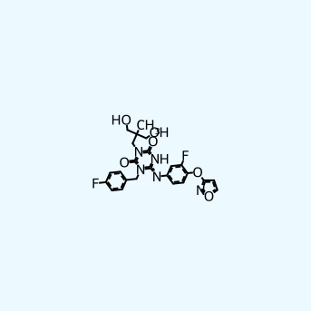 CC(CO)(CO)Cn1c(=O)[nH]/c(=N\c2ccc(Oc3ccon3)c(F)c2)n(Cc2ccc(F)cc2)c1=O